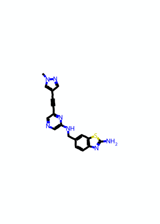 Cn1cc(C#Cc2cncc(NCc3ccc4nc(N)sc4c3)n2)cn1